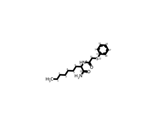 CCCCCCCC(NC(=O)CSc1ccccc1)C(N)=O